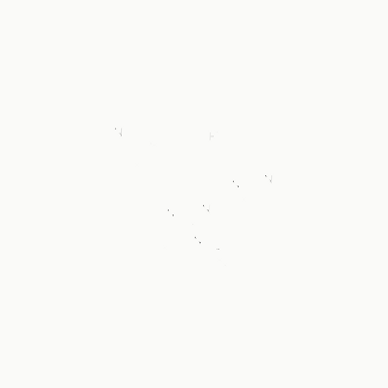 CC1(C)CN(CCc2coc3ncccc23)c2nc(-c3ccncn3)cc(=O)n2C1.Cl